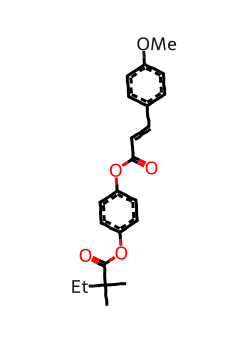 CCC(C)(C)C(=O)Oc1ccc(OC(=O)C=Cc2ccc(OC)cc2)cc1